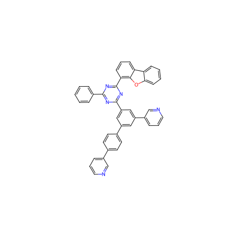 c1ccc(-c2nc(-c3cc(-c4ccc(-c5cccnc5)cc4)cc(-c4cccnc4)c3)nc(-c3cccc4c3oc3ccccc34)n2)cc1